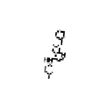 C[C@H]1CC[C@H](Nc2ccnc3c2cnn3Cc2ccccc2)CC1